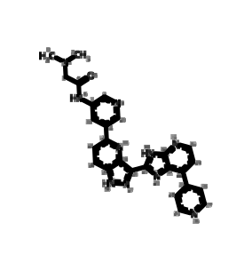 CN(C)CC(=O)Nc1cncc(-c2ccc3[nH]nc(-c4nc5c(-c6ccncc6)ccnc5[nH]4)c3n2)c1